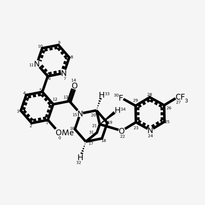 COc1cccc(-c2ncccn2)c1C(=O)N1C[C@@H]2CC[C@H]1[C@H](Oc1ncc(C(F)(F)F)cc1F)C2